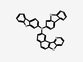 c1ccc2c(c1)oc1cc(N(c3ccc4c(c3)sc3ccccc34)c3ccc4ccc5oc6cccnc6c5c4c3)ccc12